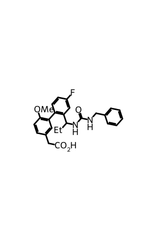 CCC(NC(=O)NCc1ccccc1)c1cc(F)ccc1-c1cc(CC(=O)O)ccc1OC